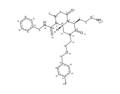 CN1CC(=O)N2[C@@H](CCSN)C(=O)N(CCOCc3ccc(F)cc3)C[C@@H]2N1C(=O)NCc1ccccc1